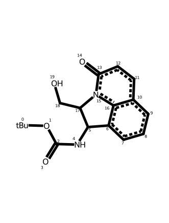 CC(C)(C)OC(=O)NC1c2cccc3ccc(=O)n(c23)C1CO